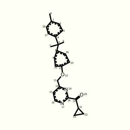 Cc1ccc(C(C)(C)c2ccc(OCc3ccnc(C(=O)C4CC4)n3)cc2)cc1